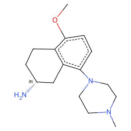 COc1ccc(N2CCN(C)CC2)c2c1CC[C@@H](N)C2